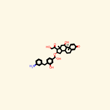 CC12CC(O)[C@H]3C(CCC4=CC(=O)C=CC43C)C1C[C@@H](O[C@H](O)c1ccc(Cc3cccc(N)c3)c(O)c1)C2C(=O)CO